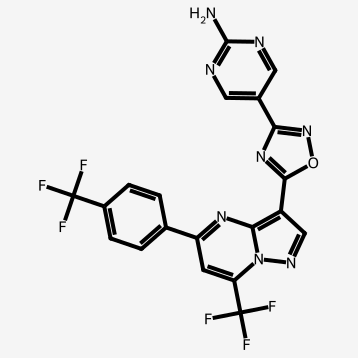 Nc1ncc(-c2noc(-c3cnn4c(C(F)(F)F)cc(-c5ccc(C(F)(F)F)cc5)nc34)n2)cn1